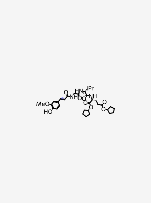 COc1cc(/C=C/C(=O)NCC(=O)N[C@H](C(=O)N[C@H](CCC(=O)OC2CCCC2)C(=O)OC2CCCC2)C(C)C)ccc1O